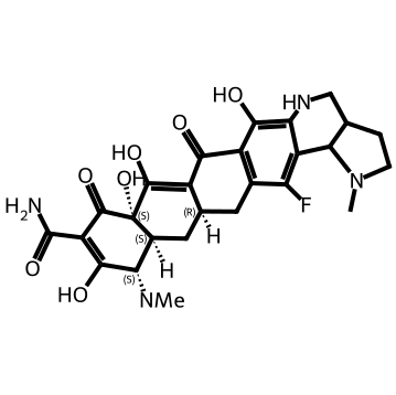 CN[C@@H]1C(O)=C(C(N)=O)C(=O)[C@@]2(O)C(O)=C3C(=O)c4c(O)c5c(c(F)c4C[C@H]3C[C@@H]12)C1C(CCN1C)CN5